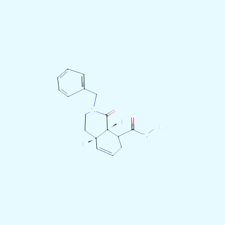 CCCCNC(=O)C1CC=C[C@@H]2CCN(Cc3ccccc3)C(=O)[C@H]12